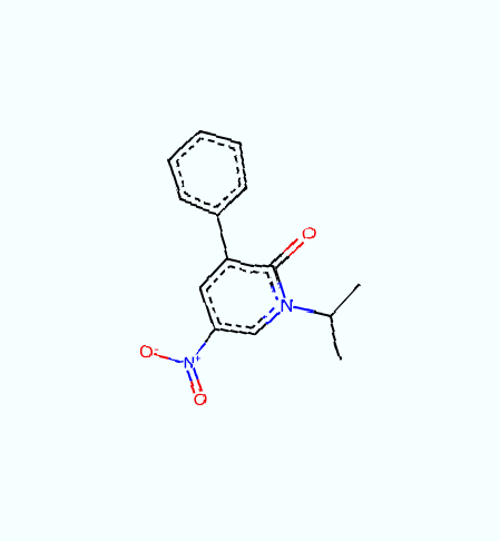 CC(C)n1cc([N+](=O)[O-])cc(-c2ccccc2)c1=O